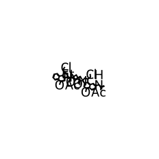 C=C(C)Nc1ccc2c(OC(C)=O)cc3c(c2c1)C(CCl)CN3C(=O)C1(C)CC(CC)(C(=O)N2CC(CCl)c3c2cc(OC(C)=O)c2ccccc32)C1